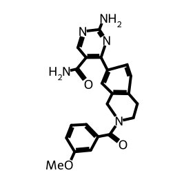 COc1cccc(C(=O)N2CCc3ccc(-c4nc(N)ncc4C(N)=O)cc3C2)c1